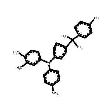 Cc1ccc(N(c2ccc(C(C)(C)c3ccc(O)cc3)cc2)c2ccc(C)c(C)c2)cc1